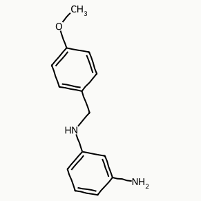 COc1ccc(CNc2cccc(N)c2)cc1